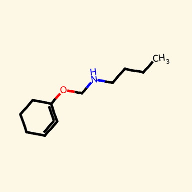 CCCCNCOC1=C=CCCC1